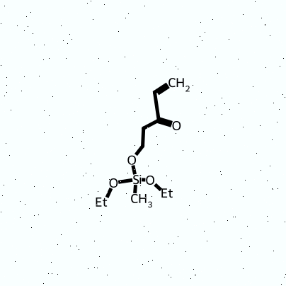 C=CC(=O)CCO[Si](C)(OCC)OCC